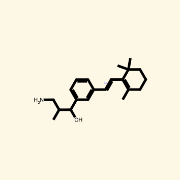 CC1=C(/C=C/c2cccc(C(O)C(C)CN)c2)C(C)(C)CCC1